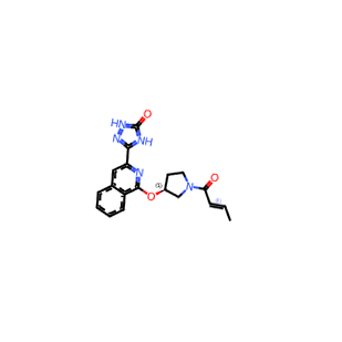 C/C=C/C(=O)N1CC[C@H](Oc2nc(-c3n[nH]c(=O)[nH]3)cc3ccccc23)C1